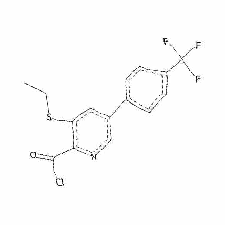 CCSc1cc(-c2ccc(C(F)(F)F)cc2)cnc1C(=O)Cl